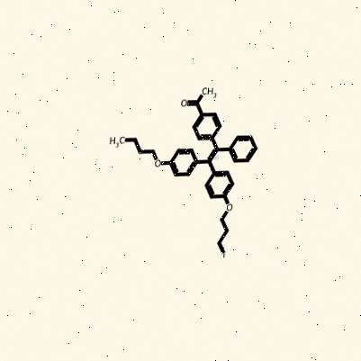 CCCCOc1ccc(/C(=C(/c2ccccc2)c2ccc(C(C)=O)cc2)c2ccc(OCCCI)cc2)cc1